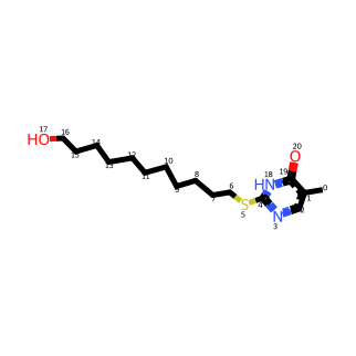 Cc1cnc(SCCCCCCCCCCCO)[nH]c1=O